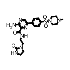 CN1CCN(S(=O)(=O)c2ccc(-c3cnc(N)c(C(=O)NCCN4CCNC4=O)n3)cc2)CC1